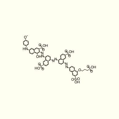 COc1ccc(Nc2ccc3c(O)c(N=Nc4ccc(N=Nc5ccc(N=Nc6ccc7c(OCCCS(=O)(=O)O)cc(S(=O)(=O)O)cc7c6)c6cc(S(=O)(=O)O)ccc56)c5ccc(S(=O)(=O)O)cc45)c(S(=O)(=O)O)cc3c2)cc1